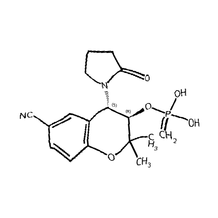 C=P(O)(O)O[C@@H]1[C@@H](N2CCCC2=O)c2cc(C#N)ccc2OC1(C)C